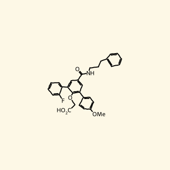 COc1ccc(-c2cc(C(=O)NCCCc3ccccc3)cc(-c3ccccc3F)c2OCC(=O)O)cc1